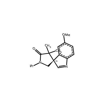 COc1ccc2c(c1)[C@@]1(C=N2)CN(C(C)C)C(=O)C1(C)C